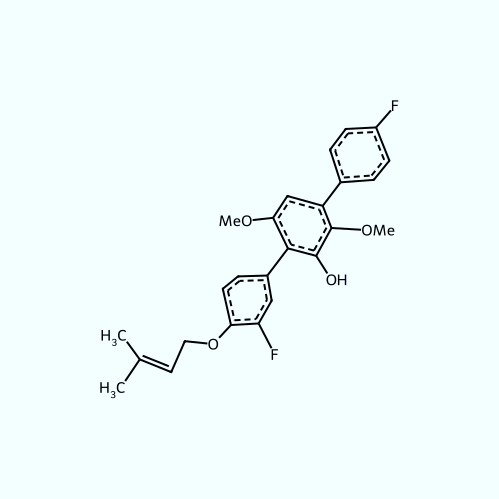 COc1cc(-c2ccc(F)cc2)c(OC)c(O)c1-c1ccc(OCC=C(C)C)c(F)c1